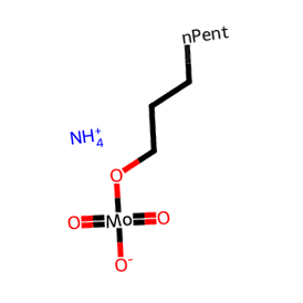 CCCCCCCC[O][Mo](=[O])(=[O])[O-].[NH4+]